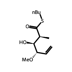 C=C[C@H](OC)[C@@H](O)[C@H](C)C(=O)SCCCC